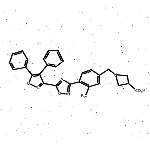 O=C(O)C1CN(Cc2ccc(-c3noc(-c4noc(-c5ccccc5)c4-c4ccccc4)n3)c(C(F)(F)F)c2)C1